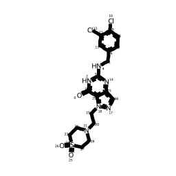 O=c1[nH]c(NCc2ccc(Cl)c(Cl)c2)nc2cnn(CCN3CCS(=O)(=O)CC3)c12